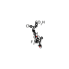 C[C@@H]1COCCN1CC[C@H](CSc1ccccc1)Nc1ccc(S(=O)(=O)NC(=O)c2ccc(N3CCN(CC4=C(c5ccc(Cl)cc5)CC[C@@](C)(CN5CCN(C(=O)O)CC5)C4)CC3)cc2)cc1S(=O)(=O)C(F)(F)F